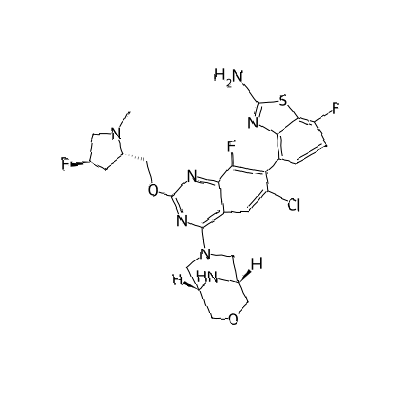 CN1C[C@H](F)C[C@H]1COc1nc(N2C[C@H]3COC[C@@H](C2)N3)c2cc(Cl)c(-c3ccc(F)c4sc(N)nc34)c(F)c2n1